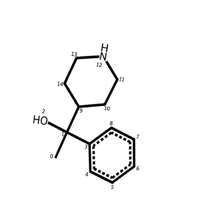 CC(O)(c1ccccc1)C1CCNCC1